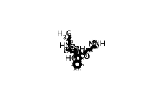 CCCCNS(=O)(=O)CC(O)C(O)C(CC1CCCCC1)NC(=O)CCc1c[nH]cn1